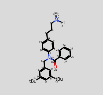 CCN(CC)CCCc1ccc(N(Cc2cc(C(C)(C)C)cc(C(C)(C)C)c2)C(=O)c2ccccc2)cc1